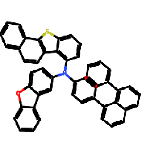 c1ccc(-c2cccc3cccc(-c4ccc(N(c5ccc6oc7ccccc7c6c5)c5cccc6sc7c8ccccc8ccc7c56)cc4)c23)cc1